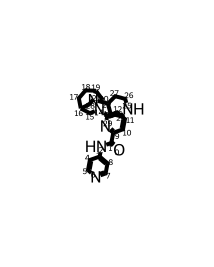 O=C(Nc1ccncc1)c1cccc(N2CC3CCC(C2)N(C2CCNCC2)C3)n1